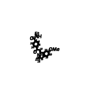 CCNC(=O)c1ccc(C(=O)/C=C2\NC(C)(C)Cc3ccc(OC)cc32)cc1